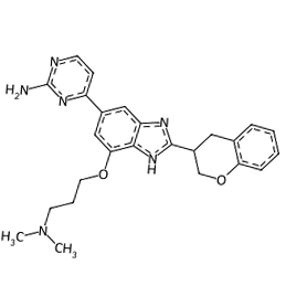 CN(C)CCCOc1cc(-c2ccnc(N)n2)cc2nc(C3COc4ccccc4C3)[nH]c12